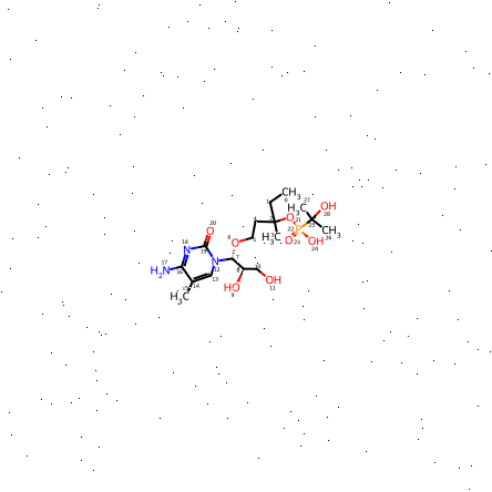 CCC(C)(CCO[C@H]([C@H](O)CO)n1cc(C)c(N)nc1=O)OP(=O)(O)C(C)(C)O